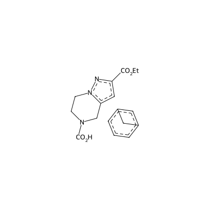 CCOC(=O)c1cc2n(n1)CCN(C(=O)O)C2.c1cc2cc(c1)C2